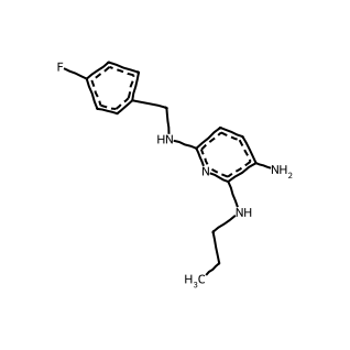 CCCNc1nc(NCc2ccc(F)cc2)ccc1N